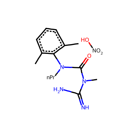 CCCN(C(=O)N(C)C(=N)N)c1c(C)cccc1C.O=[N+]([O-])O